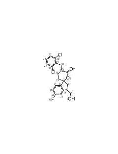 O=C1OC(CCCO)(c2ccc(F)cc2)CCN1Cc1c(Cl)cccc1Cl